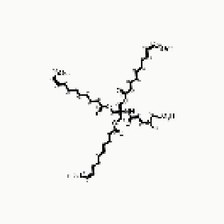 CCCCCCCC/C=C\CCCCCCCC(=O)OCC(COC(=O)CCCCCCC/C=C\CCCCCCCC)(COC(=O)CCCCCCC/C=C\CCCCCCCC)NC(=O)CCN(C)CC(=O)O